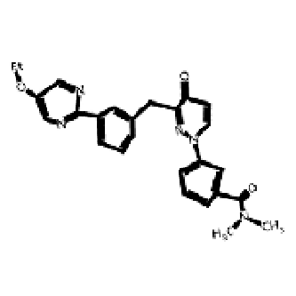 CCOc1cnc(-c2cccc(Cc3nn(-c4cccc(C(=O)N(C)C)c4)ccc3=O)c2)nc1